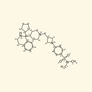 CN(C)S(=O)(=O)c1ccc(N2CC(CN3CCC(C4(C5CCCC5)NCCc5ccccc54)CC3)C2)cc1